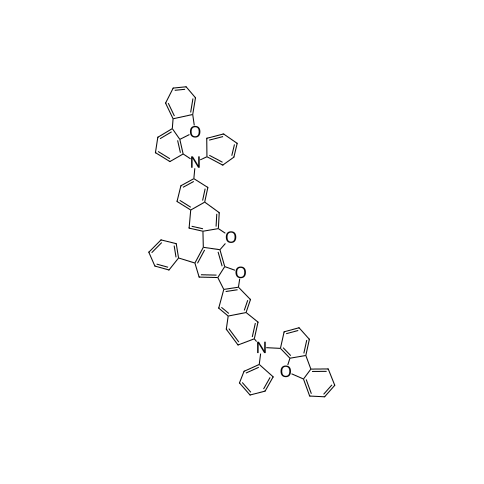 c1ccc(-c2cc3c4cc5ccc(N(c6ccccc6)c6cccc7c6oc6ccccc67)cc5cc4oc3c3oc4cc5cc(N(c6ccccc6)c6cccc7c6oc6ccccc67)ccc5cc4c23)cc1